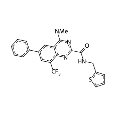 CNc1nc(C(=O)NCc2cccs2)nc2c(C(F)(F)F)cc(-c3ccccc3)cc12